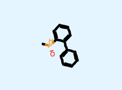 C[PH](=O)c1ccccc1-c1ccccc1